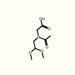 COC(CN(CC(=O)O)C(C)=O)OC